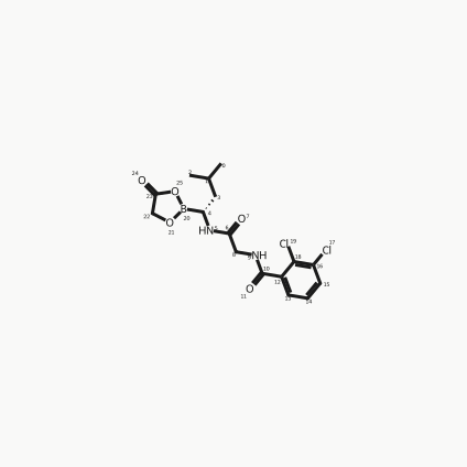 CC(C)C[C@H](NC(=O)CNC(=O)c1cccc(Cl)c1Cl)B1OCC(=O)O1